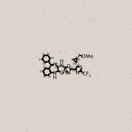 COC[C@@H]1C[C@H]1c1sc(C(F)(F)F)nc1-c1nnc(N[C@H]2N=C(c3ccccc3)c3ccccc3NC2=O)o1